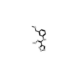 COCc1cccc(NC(=NO)c2cnon2)c1